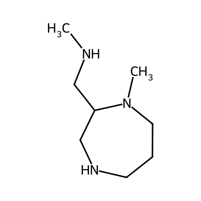 CNCC1CNCCCN1C